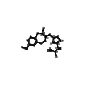 COc1ccc2c(c1)CCN(Cc1cnc(NC(C)O)s1)[C@H](C)C2